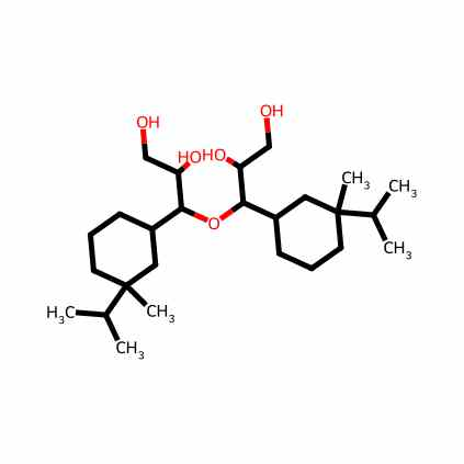 CC(C)C1(C)CCCC(C(OC(C(O)CO)C2CCCC(C)(C(C)C)C2)C(O)CO)C1